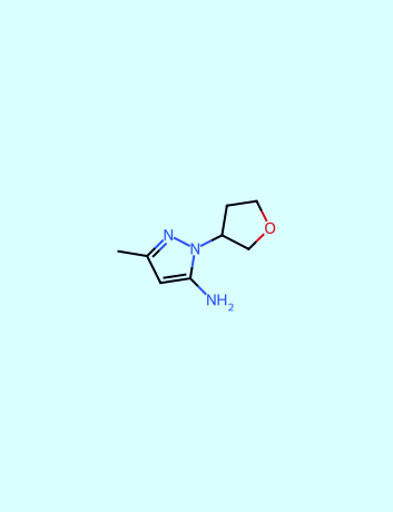 Cc1cc(N)n(C2CCOC2)n1